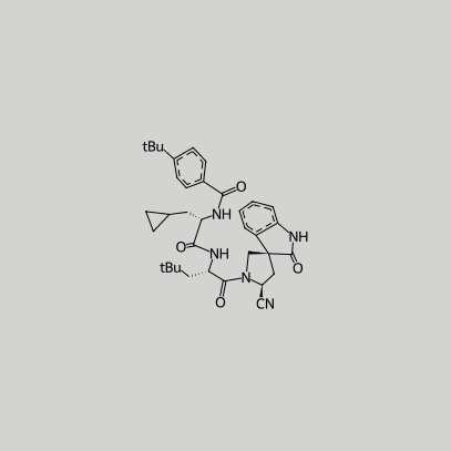 CC(C)(C)C[C@H](NC(=O)[C@H](CC1CC1)NC(=O)c1ccc(C(C)(C)C)cc1)C(=O)N1C[C@]2(C[C@H]1C#N)C(=O)Nc1ccccc12